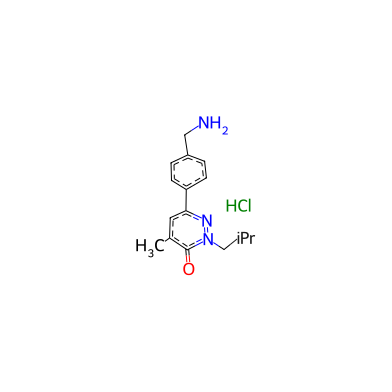 Cc1cc(-c2ccc(CN)cc2)nn(CC(C)C)c1=O.Cl